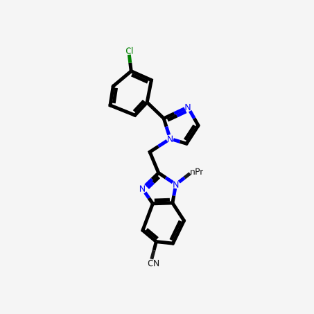 CCCn1c(Cn2ccnc2-c2cccc(Cl)c2)nc2cc(C#N)ccc21